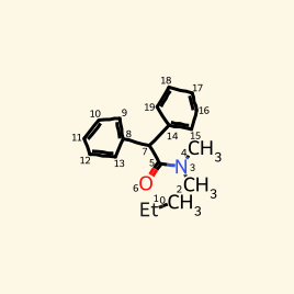 CCC.CN(C)C(=O)C(c1ccccc1)c1ccccc1